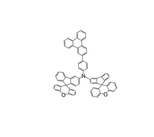 c1ccc2c(c1)Oc1ccccc1C21c2ccccc2-c2cc(N(c3ccc(-c4ccc5c6ccccc6c6ccccc6c5c4)cc3)c3ccc4c(c3)-c3ccccc3C43c4ccccc4Oc4ccccc43)ccc21